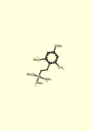 COc1cc(C)c(CC[Si](OC)(OC)OC)c(OC)c1